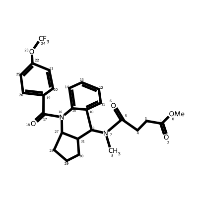 COC(=O)CCC(=O)N(C)C1c2ccccc2N(C(=O)c2ccc(OC(F)(F)F)cc2)C2CCCC12